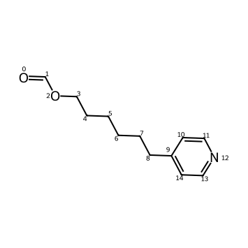 O=COCCCCCCc1ccncc1